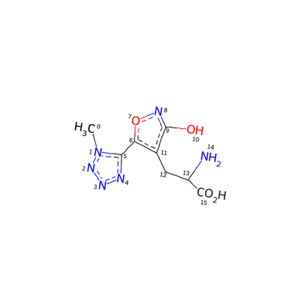 Cn1nnnc1-c1onc(O)c1CC(N)C(=O)O